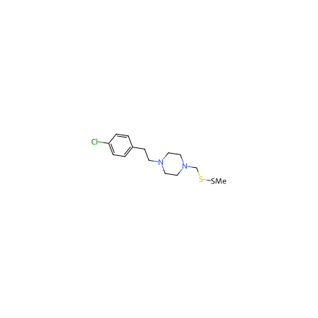 CSSCN1CCN(CCc2ccc(Cl)cc2)CC1